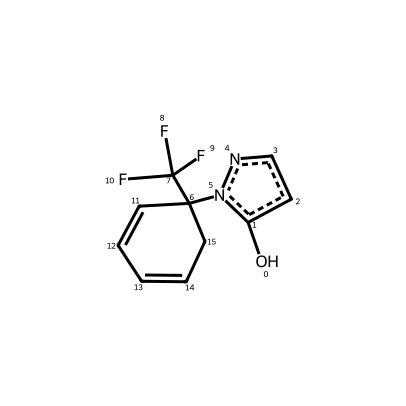 Oc1ccnn1C1(C(F)(F)F)C=CC=CC1